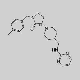 Cc1ccc(CN2CC[C@H](N3CCC(CNc4ncccn4)CC3)C2=O)cc1